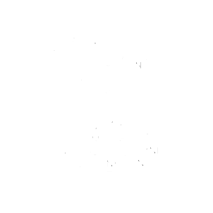 CCCC(=O)Nc1n[nH]c2cc(-c3cncc(-c4ccccc4)c3)sc12